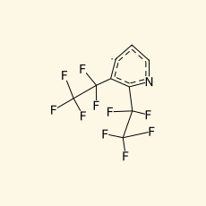 FC(F)(F)C(F)(F)c1[c]ccnc1C(F)(F)C(F)(F)F